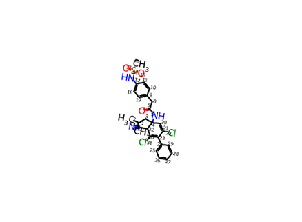 CC(C)CC1(NC(=O)Cc2ccc(NS(C)(=O)=O)cc2)C=C(Cl)C(c2ccccc2)=C(Cl)C1C#N